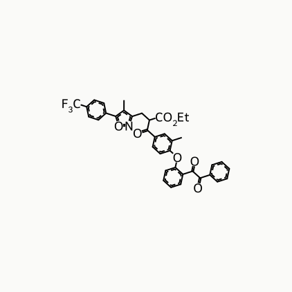 CCOC(=O)C(Cc1noc(-c2ccc(C(F)(F)F)cc2)c1C)C(=O)c1ccc(Oc2ccccc2C(=O)C(=O)c2ccccc2)c(C)c1